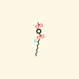 CCCCCCCC(F)COC(=O)c1ccc(OC(C)=O)cc1